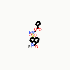 CCN1C(=O)c2cccc3c(S(=O)(=O)NCOC(=O)C4CCCC4)ccc1c23